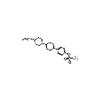 CCCCCC1CCC(C2CCC(c3ccc(OS(=O)(=O)C(F)(F)F)cc3)CC2)CC1